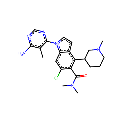 Cc1c(N)ncnc1-n1ccc2c(C3CCCN(C)C3)c(C(=O)N(C)C)c(Cl)cc21